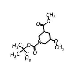 COC(=O)C1CC(OC)CN(C(=O)OC(C)(C)C)C1